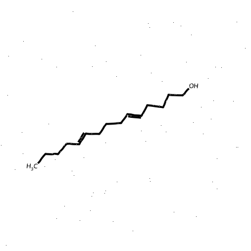 CCCCC=CCCCC=CCCCCO